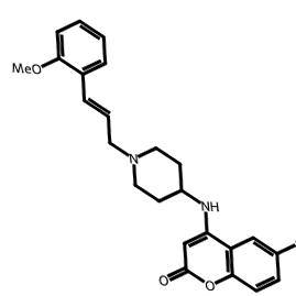 COc1ccccc1/C=C/CN1CCC(Nc2cc(=O)oc3ccc(C)cc23)CC1